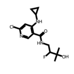 CC(C)(O)C(F)CNC(=O)c1cnc(Cl)cc1NC1CC1